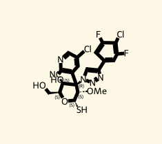 CO[C@@H]1[C@H](S)O[C@@H](CO)[C@@H](O)[C@@]1(c1cc(Cl)cnc1C#N)n1cc(-c2cc(F)c(Cl)c(F)c2)nn1